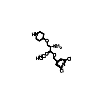 Cl.Cl.N[C@@H](COC1CCNCC1)C(=O)OCc1cc(Cl)nc(Cl)c1